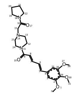 COc1cc(/C=C/C=C/C(=O)N2CCN(CC(=O)N3CCCC3)CC2)cc(OC)c1OC